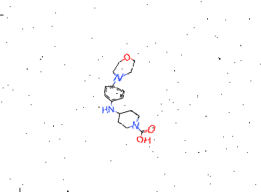 O=C(O)N1CCC(Nc2ccc(N3CCOCC3)cc2)CC1